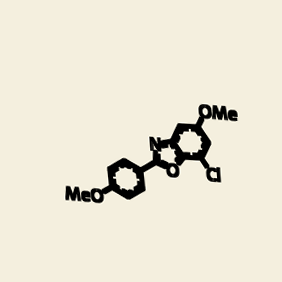 COc1ccc(-c2nc3cc(OC)cc(Cl)c3o2)cc1